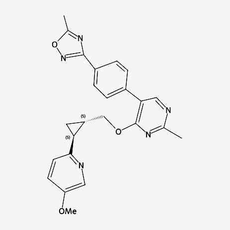 COc1ccc([C@H]2C[C@@H]2COc2nc(C)ncc2-c2ccc(-c3noc(C)n3)cc2)nc1